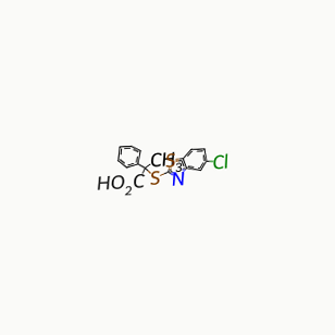 CC(Sc1nc2cc(Cl)ccc2s1)(C(=O)O)c1ccccc1